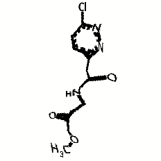 COC(=O)CNC(=O)c1ccc(Cl)nn1